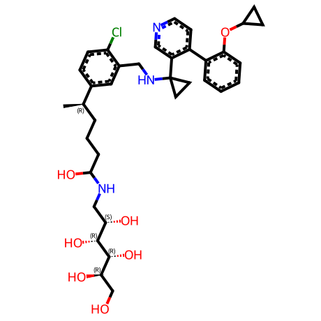 C[C@H](CCCC(O)NC[C@H](O)[C@@H](O)[C@H](O)[C@H](O)CO)c1ccc(Cl)c(CNC2(c3cnccc3-c3ccccc3OC3CC3)CC2)c1